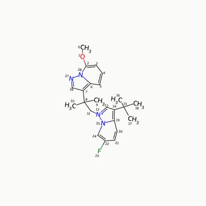 COc1cccc2c(C(C)(C)C[n+]3cc(C(C)(C)C)c4ccc(F)cn43)cnn12